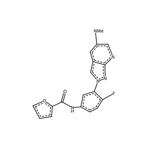 CNc1cnc2nn(-c3cc(NC(=O)c4ccco4)ccc3F)cc2c1